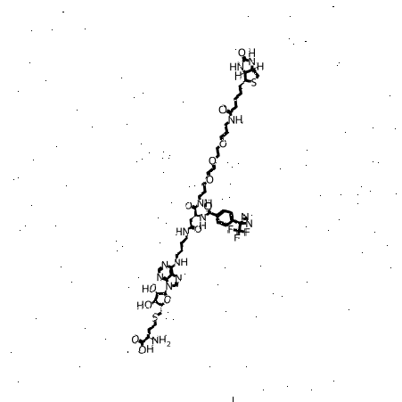 N[C@@H](CCSC[C@H]1O[C@@H](n2cnc3c(NCCCCNC(=O)C[C@H](NC(=O)c4ccc(C5(C(F)(F)F)N=N5)cc4)C(=O)NCCCOCCOCCOCCCNC(=O)CCCC[C@@H]4SC[C@@H]5NC(=O)N[C@@H]54)ncnc32)[C@@H](O)C1O)C(=O)O